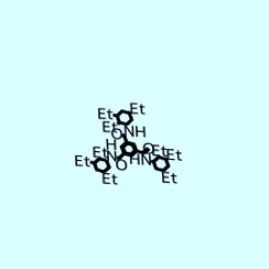 CCC1CC(CC)C(CC)C(NC(=O)c2cc(C(=O)NC3CC(CC)CC(CC)C3CC)cc(C(=O)NC3CC(CC)CC(CC)C3CC)c2)C1